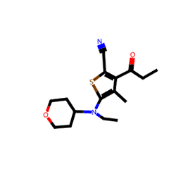 CCC(=O)c1c(C#N)sc(N(CC)C2CCOCC2)c1C